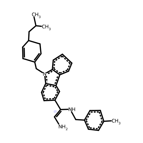 Cc1ccc(CN/C(=C\N)c2ccc3c(c2)c2ccccc2n3CC2=CCC(CC(C)C)C=C2)cc1